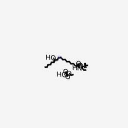 CCCCCC[C@@H](O)C/C=C\CCCCCCCC(=O)NC(CC)NC(C)(C)C.CCOS(=O)(=O)O